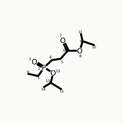 CCP(=O)(CCC(=O)OC(C)C)OC(C)C